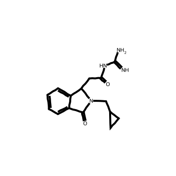 N=C(N)NC(=O)CC1c2ccccc2C(=O)N1CC1CC1